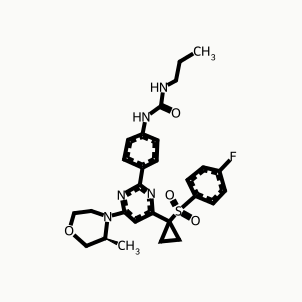 CCCNC(=O)Nc1ccc(-c2nc(N3CCOC[C@@H]3C)cc(C3(S(=O)(=O)c4ccc(F)cc4)CC3)n2)cc1